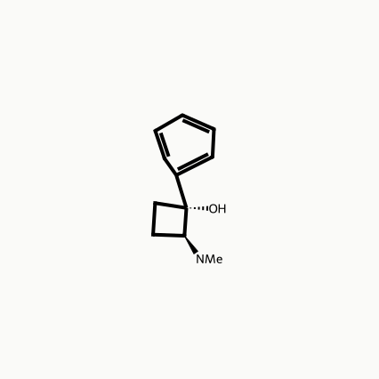 CN[C@H]1CC[C@@]1(O)c1ccccc1